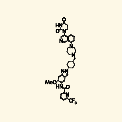 COc1cc2nn([C@H]3CC[C@H](CN4CCCN(c5cccc6c(N7CCC(=O)NC7=O)cncc56)CC4)CC3)cc2cc1NC(=O)c1cccc(C(F)(F)F)n1